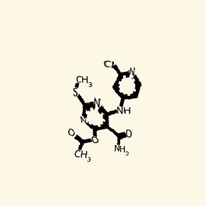 CSc1nc(Nc2ccnc(Cl)c2)c(C(N)=O)c(OC(C)=O)n1